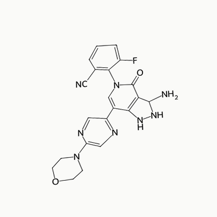 N#Cc1cccc(F)c1-n1cc(-c2cnc(N3CCOCC3)cn2)c2c(c1=O)C(N)NN2